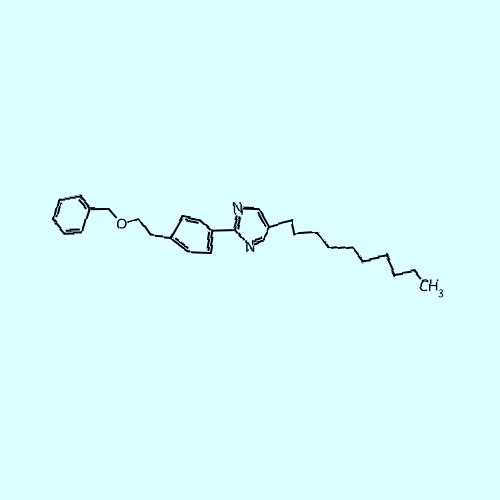 CCCCCCCCCCc1cnc(-c2ccc(CCOCc3ccccc3)cc2)nc1